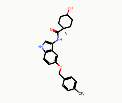 C[C@]1(C(=O)Nc2c[nH]c3ccc(OCc4ccc(C(F)(F)F)cc4)cc23)CC[C@@H](O)CC1